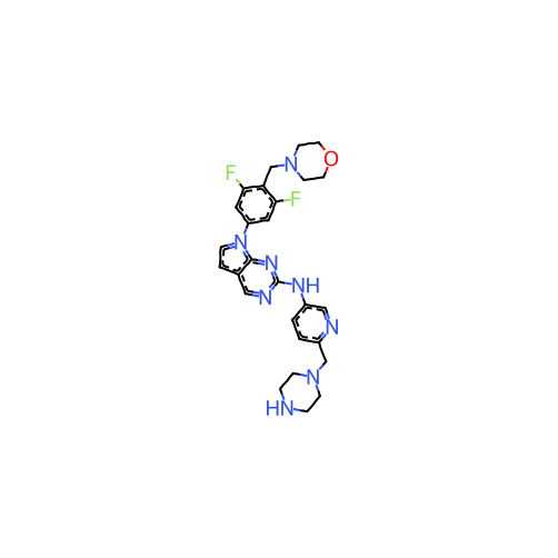 Fc1cc(-n2ccc3cnc(Nc4ccc(CN5CCNCC5)nc4)nc32)cc(F)c1CN1CCOCC1